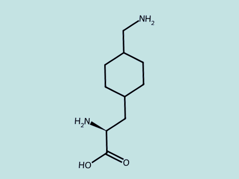 NCC1CCC(C[C@H](N)C(=O)O)CC1